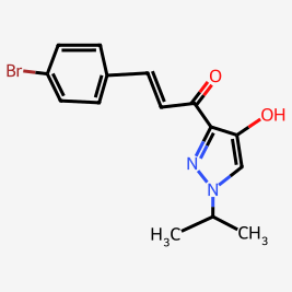 CC(C)n1cc(O)c(C(=O)/C=C/c2ccc(Br)cc2)n1